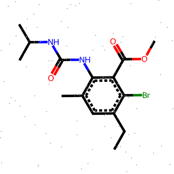 CCc1cc(C)c(NC(=O)NC(C)C)c(C(=O)OC)c1Br